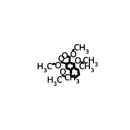 CCOC(=O)c1c(C(=O)OCC)c(OC(C)C)c2ccccc2c1OC(C)C